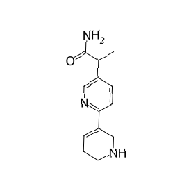 CC(C(N)=O)c1ccc(C2=CCCNC2)nc1